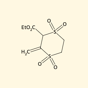 C=C1C(C(=O)OCC)S(=O)(=O)CCS1(=O)=O